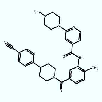 Cc1ccc(C(=O)N2CCC(c3ccc(C#N)cc3)CC2)cc1NC(=O)c1ccnc(N2CCN(C)CC2)c1